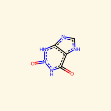 O=c1[nH][n+](=O)[nH]c2nc[nH]c12